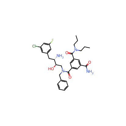 CCCN(CCC)C(=O)c1cc(C(N)=O)cc(C(=O)N(Cc2ccccc2)C[C@@H](O)[C@@H](N)Cc2cc(F)cc(Cl)c2)c1